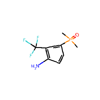 CP(C)(=O)c1ccc(N)c(C(F)(F)F)c1